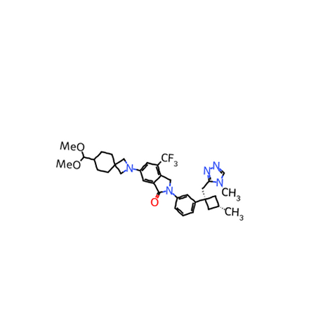 COC(OC)C1CCC2(CC1)CN(c1cc3c(c(C(F)(F)F)c1)CN(c1cccc([C@]4(Cc5nncn5C)C[C@@H](C)C4)c1)C3=O)C2